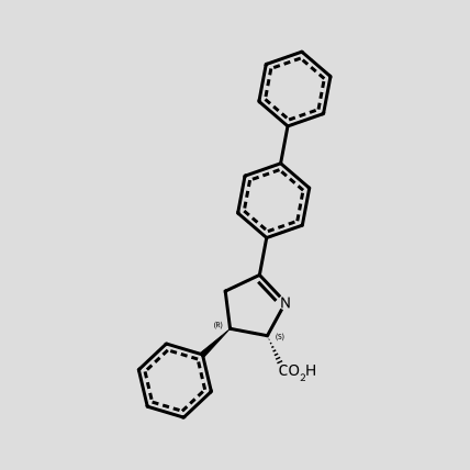 O=C(O)[C@H]1N=C(c2ccc(-c3ccccc3)cc2)C[C@@H]1c1ccccc1